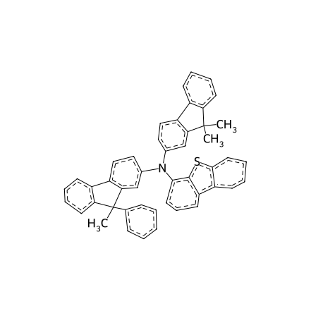 CC1(C)c2ccccc2-c2ccc(N(c3ccc4c(c3)C(C)(c3ccccc3)c3ccccc3-4)c3cccc4c3sc3ccccc34)cc21